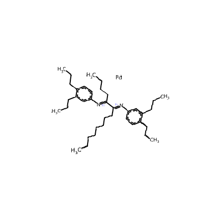 CCCCCCCCC(=N\c1ccc(CCC)c(CCC)c1)/C(CCCC)=N/c1ccc(CCC)c(CCC)c1.[Pd]